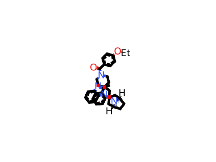 CCOc1ccc(C(=O)N2CCC(CCN3[C@@H]4CC[C@H]3CC(n3c(C)nc5ccccc53)C4)(c3ccccc3)CC2)cc1